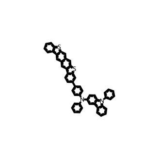 c1ccc(N(c2ccc(-c3ccc4c(c3)sc3cc5cc6sc7ccccc7c6cc5cc34)cc2)c2ccc3c(c2)c2ccccc2n3-c2ccccc2)cc1